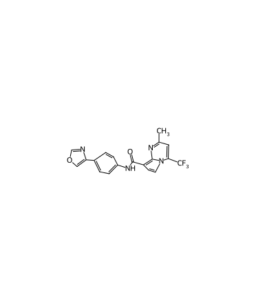 Cc1cc(C(F)(F)F)n2ccc(C(=O)Nc3ccc(-c4cocn4)cc3)c2n1